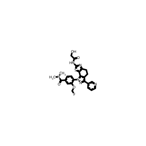 CN(C)C(=O)c1ccc(-n2nc(-c3cccnc3)c3c2-c2sc(NC(=O)CO)nc2CC3)c(OCF)c1